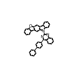 c1ccc(-c2ccc(-c3nc(-n4c5ccccc5c5cc6oc7ccccc7c6cc54)nc4ccccc34)cc2)cc1